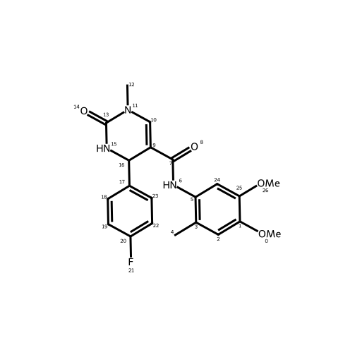 COc1cc(C)c(NC(=O)C2=CN(C)C(=O)NC2c2ccc(F)cc2)cc1OC